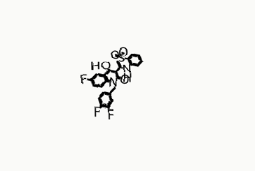 O=c1c(C2=CS(=O)(=O)c3ccccc3N2)c(O)c2cc(F)ccc2n1Cc1ccc(F)c(F)c1